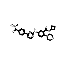 CN(C#N)C(=O)c1ccc(-c2ccnc([AsH]c3ccc(N4CCOCC4)c(C(=O)OC4CCC4)c3)n2)cc1